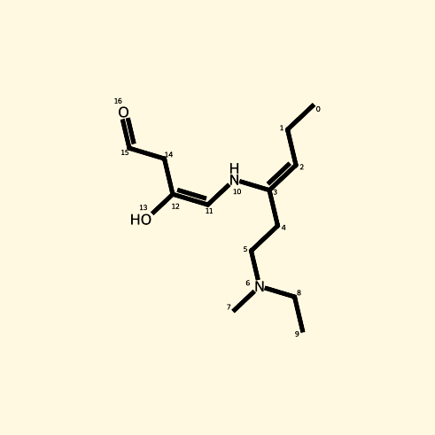 CC/C=C(/CCN(C)CC)N/C=C(/O)CC=O